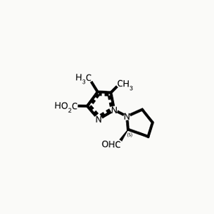 Cc1c(C(=O)O)nn(N2CCC[C@H]2C=O)c1C